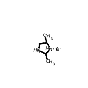 CC1CNC(C)[NH+]1[O-]